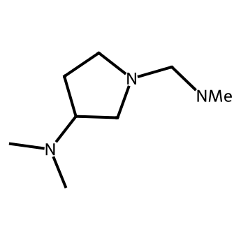 CNCN1CCC(N(C)C)C1